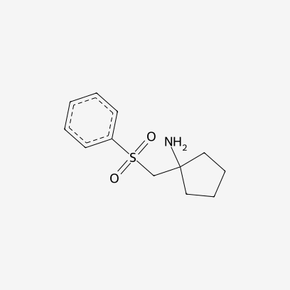 NC1(CS(=O)(=O)c2ccccc2)CCCC1